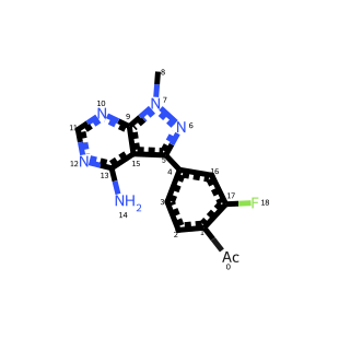 CC(=O)c1ccc(-c2nn(C)c3ncnc(N)c23)cc1F